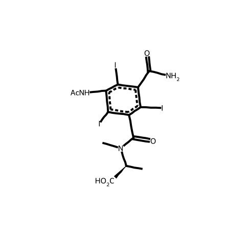 CC(=O)Nc1c(I)c(C(N)=O)c(I)c(C(=O)N(C)[C@@H](C)C(=O)O)c1I